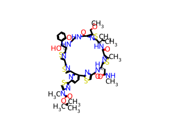 CNC(=O)C[C@@H]1NC(=O)c2csc(n2)-c2ccc(-c3nc(N(C)C(=O)OC(C)(C)C)cs3)nc2-c2csc(n2)-c2csc(n2)[C@H]([C@@H](O)c2ccccc2)NC(=O)CNC(=O)c2nc(sc2COC)[C@@H](C(C)C)NC(=O)c2nc1sc2C